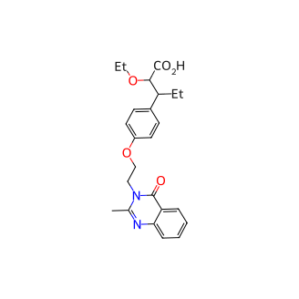 CCOC(C(=O)O)C(CC)c1ccc(OCCn2c(C)nc3ccccc3c2=O)cc1